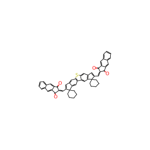 O=C1C(=CC2=Cc3cc4sc5cc6c(cc5c4cc3C23CCCCC3)C2(CCCCC2)C(C=C2C(=O)c3cc4ccccc4cc3C2=O)=C6)C(=O)c2cc3ccccc3cc21